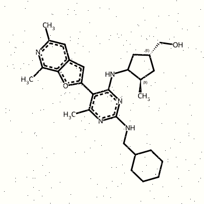 Cc1cc2cc(-c3c(C)nc(NCC4CCCCC4)nc3NC3C[C@H](CO)C[C@H]3C)oc2c(C)n1